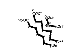 CC(C)(C)CCCCCC(=O)[O-].CC(C)(C)CCCCCC(=O)[O-].CCCCCCC[CH2][Sn-][CH2]CCCCCCC